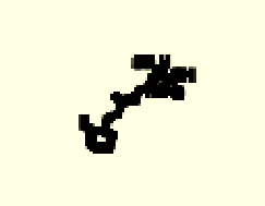 C/C(=C\CCCC(P(=O)(O)O)S(=O)(=O)O)CCc1ccccc1F